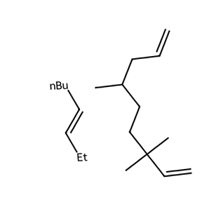 C=CCC(C)CCC(C)(C)C=C.CCC=CCCCC